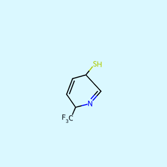 FC(F)(F)C1C=CC(S)C=N1